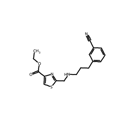 CCOC(=O)c1csc(CNCCCc2cccc(C#N)c2)n1